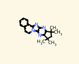 CC1(C)CC(C)(C)c2nc3c(nc21)nc1c2ccccc2ccn31